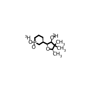 [3H]O[C@@H]1[C@@H]([C@@H]2CCC[P@](=O)(O[3H])C2)O[C@@H](C)C1(C)C